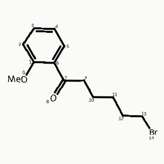 COc1ccccc1C(=O)CCCCCBr